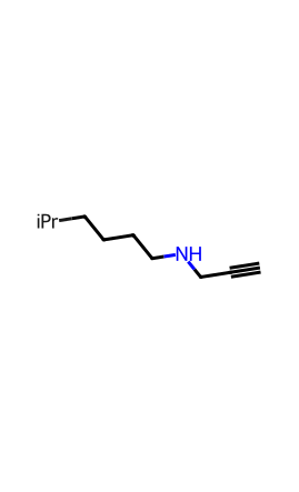 C#CCNCCCCC(C)C